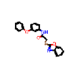 O=C(CSc1nc2ccccc2o1)Nc1cccc(Oc2ccccc2)c1